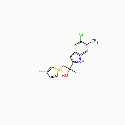 CC(O)(C[SH]1C=CC(F)=C1)c1cc2cc(Cl)c(C(F)(F)F)cc2[nH]1